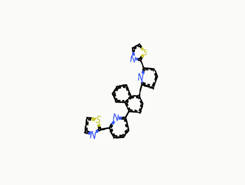 c1cc(-c2nccs2)nc(-c2ccc(-c3cccc(-c4nccs4)n3)c3ccccc23)c1